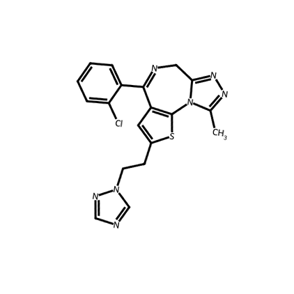 Cc1nnc2n1-c1sc(CCn3cncn3)cc1C(c1ccccc1Cl)=NC2